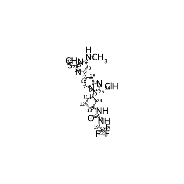 CNc1cc(-c2ccn3c(-c4cccc(NC(=O)NCC(F)(F)F)c4)cnc3c2)nc(SC)n1.Cl